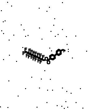 CCc1ccc(-c2ccc(C(=O)OCC(F)(F)C(F)(F)C(F)(F)C(F)(F)C(F)(F)C(F)(F)C(F)(F)C(F)F)cc2)cc1